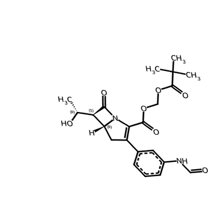 C[C@@H](O)[C@H]1C(=O)N2C(C(=O)OCOC(=O)C(C)(C)C)=C(c3cccc(NC=O)c3)C[C@H]12